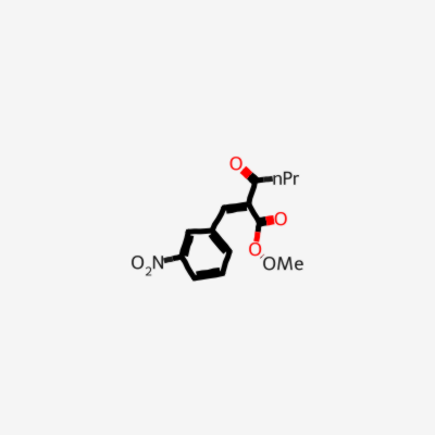 CCCC(=O)C(=Cc1cccc([N+](=O)[O-])c1)C(=O)OOC